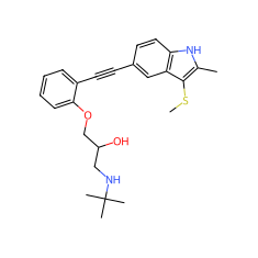 CSc1c(C)[nH]c2ccc(C#Cc3ccccc3OCC(O)CNC(C)(C)C)cc12